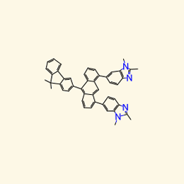 Cc1nc2ccc(-c3cccc4c(-c5ccc6c(c5)-c5ccccc5C6(C)C)c5cccc(-c6ccc7nc(C)n(C)c7c6)c5cc34)cc2n1C